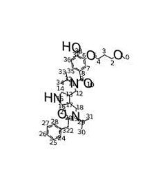 COCCCOc1cc(C(=O)N(CC2CNCC2CN(C(=O)Cc2ccccc2)C(C)C)C(C)C)ccc1O